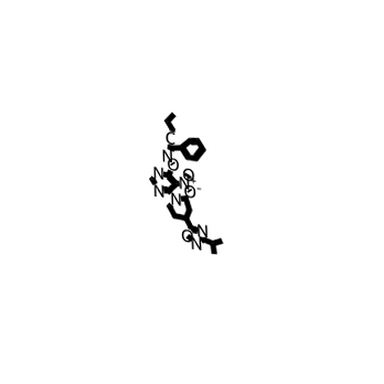 CCCCC(=NOc1ncnc(N2CCC(c3nc(C(C)C)no3)CC2)c1[N+](=O)[O-])c1ccccc1